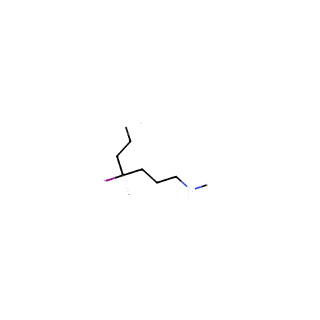 CCCCCCCC[C@](C)(I)CCCNCC